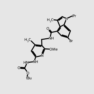 COc1nc(NNC(=O)OC(C)(C)C)cc(C)c1CNC(=O)c1cc(Br)cc2c1c(C)cn2C(C)C